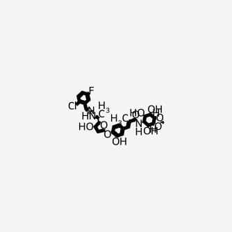 CC(=Cc1ccc(O[C@H]2C[C@H](O)[C@@H](C(C)NN=Cc3cc(F)ccc3Cl)O2)c(O)c1)C(=O)N[C@@H]1[C@H](O)[C@@H](O)[C@H]2OCO[C@H]2[C@@H]1O